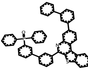 O=P(c1ccccc1)(c1ccccc1)c1cccc(-c2cccc(-c3nc4cc(-c5cccc(-c6ccccc6)c5)ccc4c4c3sc3ccccc34)c2)c1